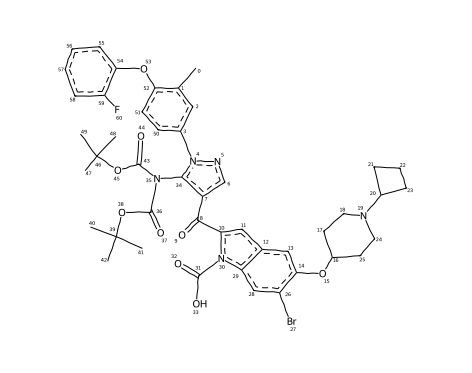 Cc1cc(-n2ncc(C(=O)c3cc4cc(OC5CCN(C6CCC6)CC5)c(Br)cc4n3C(=O)O)c2N(C(=O)OC(C)(C)C)C(=O)OC(C)(C)C)ccc1Oc1ccccc1F